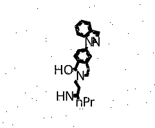 CCCC(=N)CCN1CCc2cc(-n3ncc4ccccc43)ccc2C1O